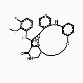 COc1c(F)cccc1Nc1c2[nH]c3c1C(=O)NCC3CCCCOc1cccc(c1)Nc1cnccc1-2